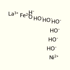 [Fe+2].[La+3].[Ni+2].[OH-].[OH-].[OH-].[OH-].[OH-].[OH-].[OH-]